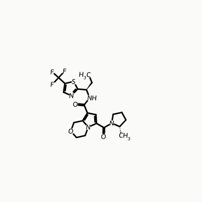 CC[C@@H](NC(=O)c1cc(C(=O)N2CCC[C@@H]2C)n2c1COCC2)c1ncc(C(F)(F)F)s1